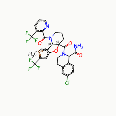 CCC[C@H]1N(C(=O)c2ncccc2C(F)(F)F)CCC[C@]1(Oc1csc(C(F)(F)F)c1)C(=O)N1CCc2cc(Cl)ccc2C1C(N)=O